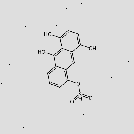 O=[SH](=O)Oc1cccc2c(O)c3c(O)ccc(O)c3cc12